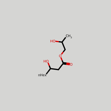 CCCCCCC(O)CC(=O)OCC(C)O